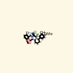 CCc1ccccc1-c1nc(Cl)c(CN2CCCCC2c2ccc(OC)c(C)c2C)n1CC1OCCO1